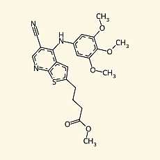 COC(=O)CCCc1cc2c(Nc3cc(OC)c(OC)c(OC)c3)c(C#N)cnc2s1